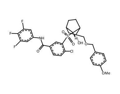 COc1ccc(COC[C@@]2(O)CC3CCC2[C@@H]3S(=O)(=O)c2cc(C(=O)Nc3cc(F)c(F)c(F)c3)ccc2Cl)cc1